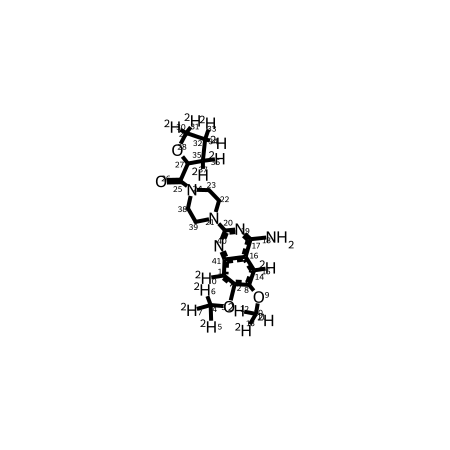 [2H]c1c(OC([2H])([2H])[2H])c(OC([2H])([2H])[2H])c([2H])c2c(N)nc(N3CCN(C(=O)C4OC([2H])([2H])C([2H])([2H])C4([2H])[2H])CC3)nc12